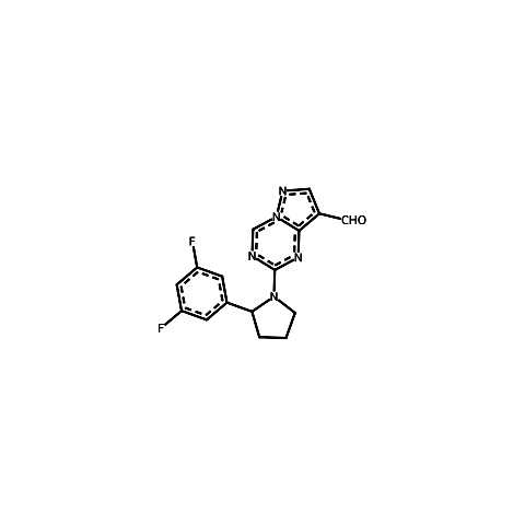 O=Cc1cnn2cnc(N3CCCC3c3cc(F)cc(F)c3)nc12